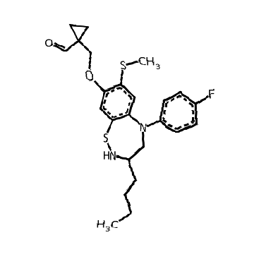 CCCCC1CN(c2ccc(F)cc2)c2cc(SC)c(OCC3(C=O)CC3)cc2SN1